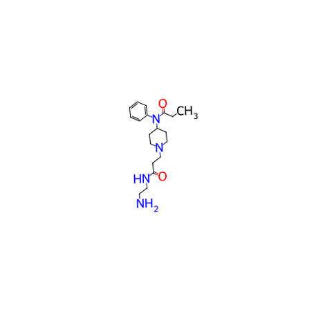 CCC(=O)N(c1ccccc1)C1CCN(CCC(=O)NCCN)CC1